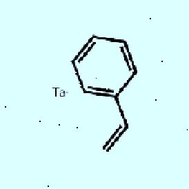 C=Cc1ccccc1.[Ta]